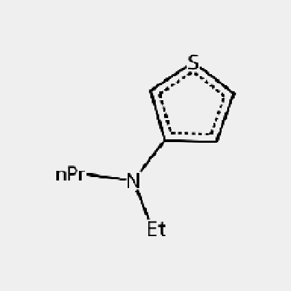 CCCN(CC)c1ccsc1